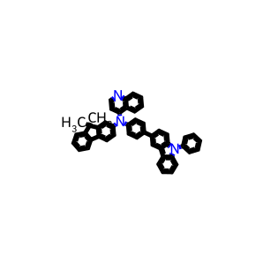 CC1(C)c2ccccc2-c2ccc(N(c3ccc(-c4ccc5c(c4)c4ccccc4n5-c4ccccc4)cc3)c3ccnc4ccccc34)cc21